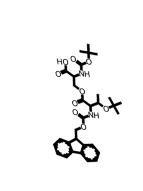 CC(OC(C)(C)C)C(NC(=O)OCC1c2ccccc2-c2ccccc21)C(=O)OCC(NC(=O)OC(C)(C)C)C(=O)O